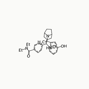 CCN(CC)C(=O)c1ccc(C(=C2CC3CCC(C2)N3C(C)c2ccc[nH]2)c2cccc(O)c2)cc1